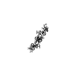 CCc1cc(C(=O)N[C@@H]2CCN(S(=O)(=O)N3CCC(NC(=O)OC(C)(C)C)CC3)C(C)(C)C2)ns1